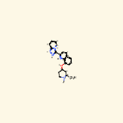 CN1CCC(Oc2cccc3ccc(-c4nnc5ccccn45)nc23)CC1C(=O)O